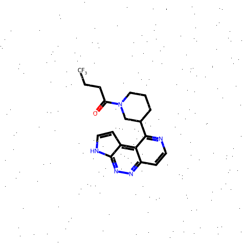 O=C(CCC(F)(F)F)N1CCCC(c2nccc3nnc4[nH]ccc4c23)C1